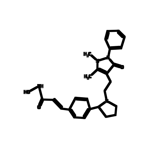 Cc1c(CCN2CCCC2c2ccc(C=CC(=O)NO)cc2)c(=O)n(-c2ccccc2)n1C